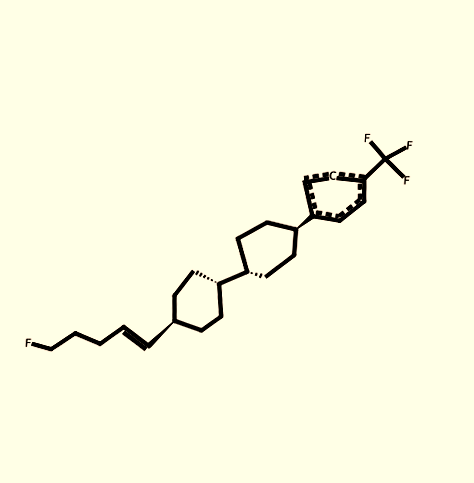 FCCCC=C[C@H]1CC[C@H]([C@H]2CC[C@H](c3ccc(C(F)(F)F)cc3)CC2)CC1